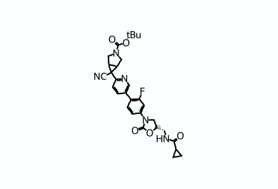 CC(C)(C)OC(=O)N1CC2C(C1)C2(C#N)c1ccc(-c2ccc(N3C[C@H](CNC(=O)C4CC4)OC3=O)cc2F)cn1